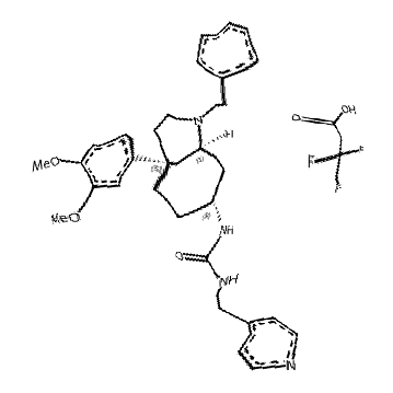 COc1ccc([C@@]23CC[C@@H](NC(=O)NCc4ccncc4)C[C@@H]2N(Cc2ccccc2)CC3)cc1OC.O=C(O)C(F)(F)F